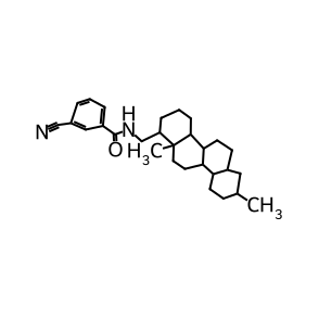 CC1CCC2C(CCC3C2CCC2(C)C(CNC(=O)c4cccc(C#N)c4)CCCC32)C1